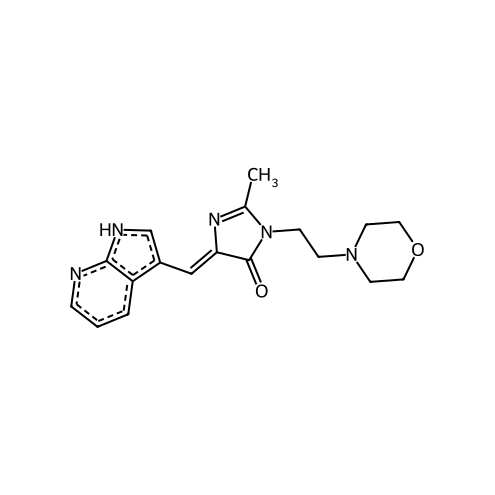 CC1=NC(=Cc2c[nH]c3ncccc23)C(=O)N1CCN1CCOCC1